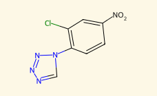 O=[N+]([O-])c1ccc(-n2cnnn2)c(Cl)c1